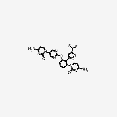 Nc1ccn(-c2cnc(Oc3cccc(-n4ccc(N)nc4=O)c3-c3cc(C(F)F)no3)nc2)c(=O)n1